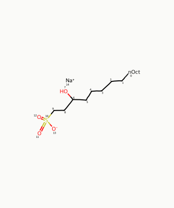 CCCCCCCCCCCCCC(O)CCS(=O)(=O)[O-].[Na+]